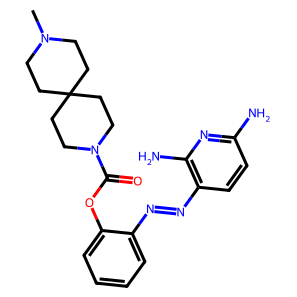 CN1CCC2(CC1)CCN(C(=O)Oc1ccccc1/N=N/c1ccc(N)nc1N)CC2